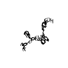 N#Cc1cncc(COc2cc(OCc3cccc(-c4cccc5c4cnn5CCCCN4CC[C@@H](O)C4)c3Br)c(Cl)cc2CN2CCCC2)c1